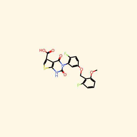 COc1cccc(F)c1COc1ccc(F)c(-n2c(=O)[nH]c3scc(C(=O)O)c3c2=O)c1